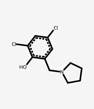 Oc1c(Cl)cc(Cl)cc1CN1CCCC1